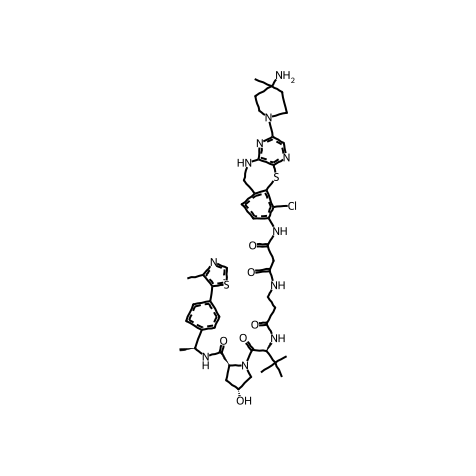 Cc1ncsc1-c1ccc([C@H](C)NC(=O)[C@@H]2C[C@@H](O)CN2C(=O)[C@@H](NC(=O)CCNC(=O)CC(=O)Nc2ccc3c(c2Cl)Sc2ncc(N4CCC(C)(N)CC4)nc2NC3)C(C)(C)C)cc1